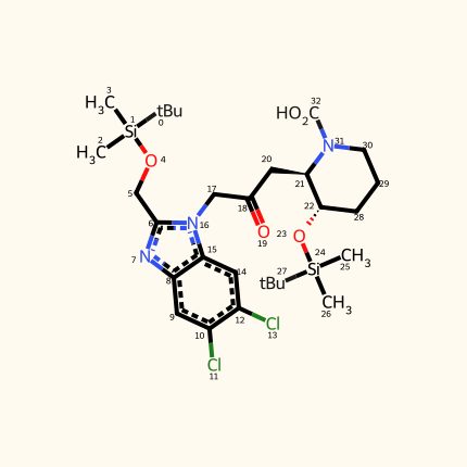 CC(C)(C)[Si](C)(C)OCc1nc2cc(Cl)c(Cl)cc2n1CC(=O)C[C@@H]1[C@@H](O[Si](C)(C)C(C)(C)C)CCCN1C(=O)O